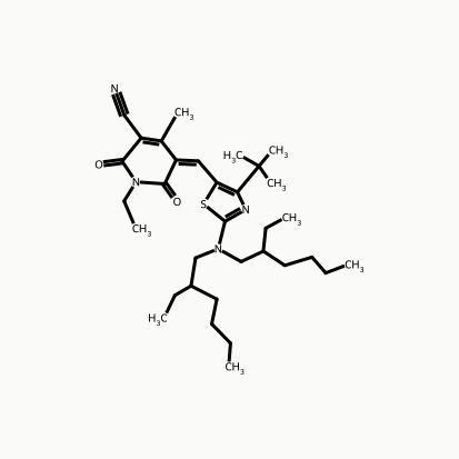 CCCCC(CC)CN(CC(CC)CCCC)c1nc(C(C)(C)C)c(/C=C2\C(=O)N(CC)C(=O)C(C#N)=C2C)s1